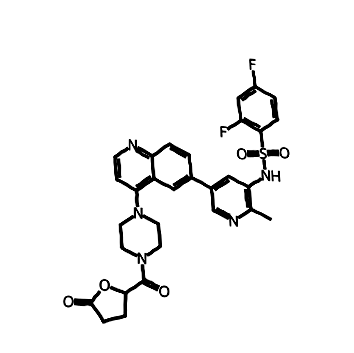 Cc1ncc(-c2ccc3nccc(N4CCN(C(=O)C5CCC(=O)O5)CC4)c3c2)cc1NS(=O)(=O)c1ccc(F)cc1F